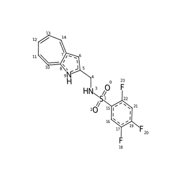 O=S(=O)(NCc1cc2c([nH]1)=C=CC=CC=2)c1cc(F)c(F)cc1F